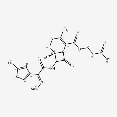 CON=C(C(=O)NC1C(=O)N2C(C(=O)OCOC(=O)C(C)C)=C(C)CS[C@@H]12)c1csc(N)n1